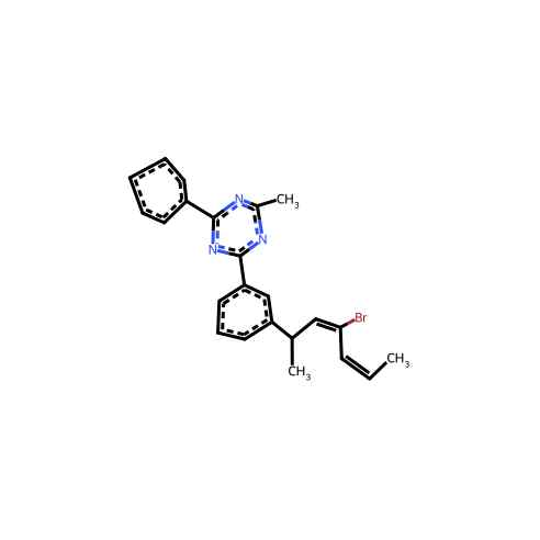 C/C=C\C(Br)=C/C(C)c1cccc(-c2nc(C)nc(-c3ccccc3)n2)c1